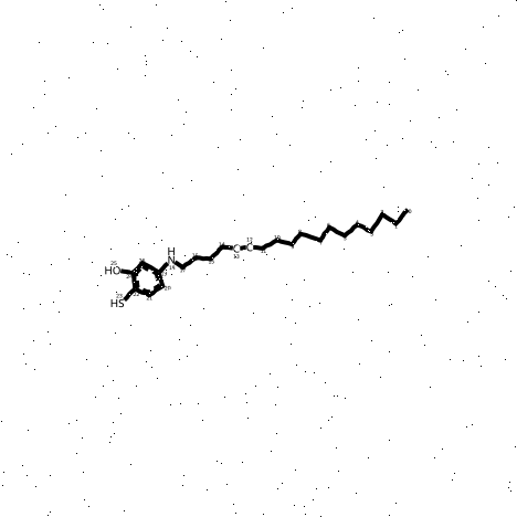 CCCCCCCCCCCCCCCCCCNc1ccc(S)c(O)c1